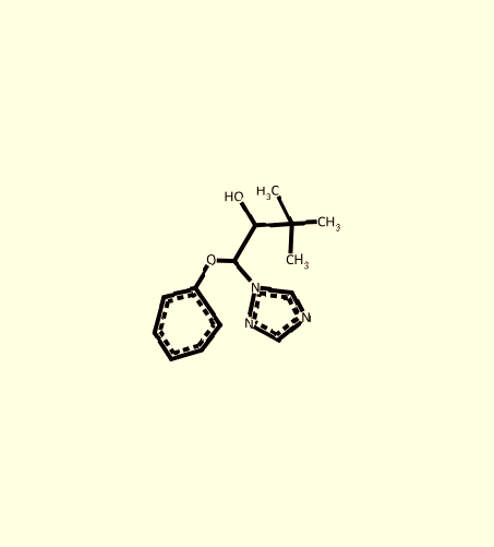 CC(C)(C)C(O)C(Oc1ccccc1)n1cncn1